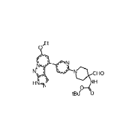 CCOc1cc(-c2ccc(N3CCC(C=O)(NC(=O)OC(C)(C)C)CC3)nc2)c2c3cn[nH]c3nn2c1